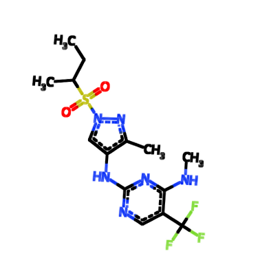 CCC(C)S(=O)(=O)n1cc(Nc2ncc(C(F)(F)F)c(NC)n2)c(C)n1